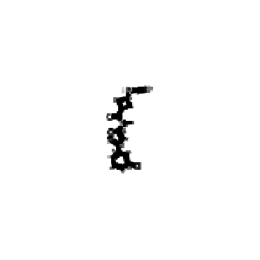 CN(C(=O)C1CC(NC#N)C1)c1cc(-c2cccc(Cl)c2)no1